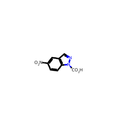 O=C(O)n1ncc2cc([N+](=O)[O-])ccc21